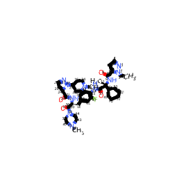 CCn1nccc1C(=O)N[C@@](C)(C(=O)Nc1ccc(C[C@@H](NC(=O)c2ccnn2C2CCN(C)CC2)C(=O)N2CCN(C)CC2)cc1F)C1CCCCC1